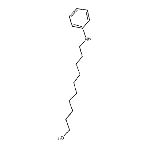 OCCCCCCCCCCNc1ccccc1